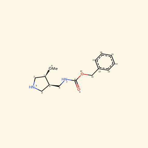 CO[C@@H]1CNC[C@@H]1CNC(=O)OCc1ccccc1